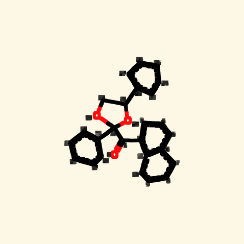 O=C(c1cccc2ccccc12)C1(c2ccccc2)OCC(c2ccccc2)O1